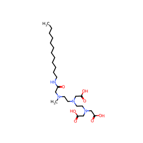 CCCCCCCCCCCCNC(=O)CN(C)CCN(CCN(CC(=O)O)CC(=O)O)CC(=O)O